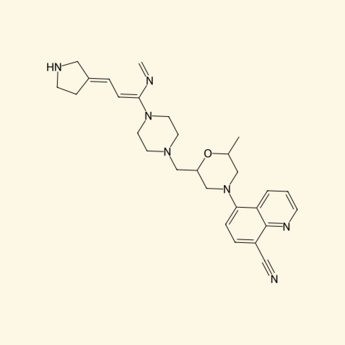 C=N/C(=C\C=C1/CCNC1)N1CCN(CC2CN(c3ccc(C#N)c4ncccc34)CC(C)O2)CC1